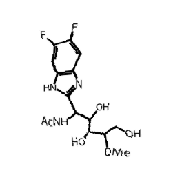 COC(CO)[C@@H](O)C(O)C(NC(C)=O)c1nc2cc(F)c(F)cc2[nH]1